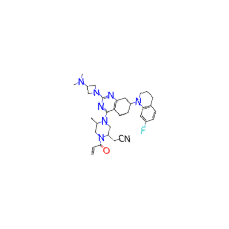 C=CC(=O)N1CC(C)N(c2nc(N3CC(N(C)C)C3)nc3c2CCC(N2CCCc4ccc(F)cc42)C3)CC1CC#N